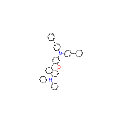 c1ccc(-c2ccc(N(c3ccc(-c4ccccc4)cc3)c3ccc4c(c3)Oc3ccc(N(c5ccccc5)c5ccccc5)c5cccc-4c35)cc2)cc1